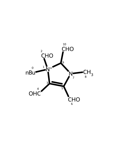 CCCC[N+]1(C=O)C(C=O)=C(C=O)N(C)C1C=O